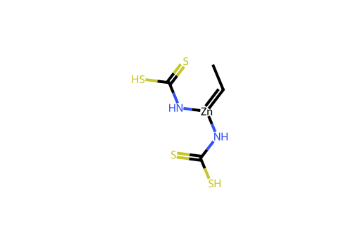 C[CH]=[Zn]([NH]C(=S)S)[NH]C(=S)S